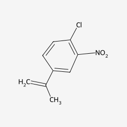 C=C(C)c1ccc(Cl)c([N+](=O)[O-])c1